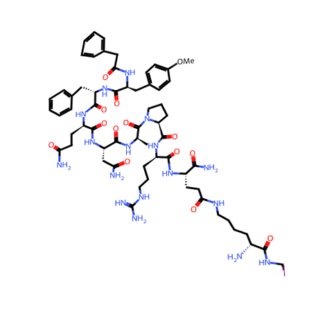 COc1ccc(C[C@H](NC(=O)Cc2ccccc2)C(=O)N[C@@H](Cc2ccccc2)C(=O)N[C@H](CCC(N)=O)C(=O)N[C@@H](CC(N)=O)C(=O)N[C@H](C)C(=O)N2CCC[C@H]2C(=O)N[C@H](CCCNC(=N)N)C(=O)N[C@@H](CCC(=O)NCCCC[C@@H](N)C(=O)NCI)C(N)=O)cc1